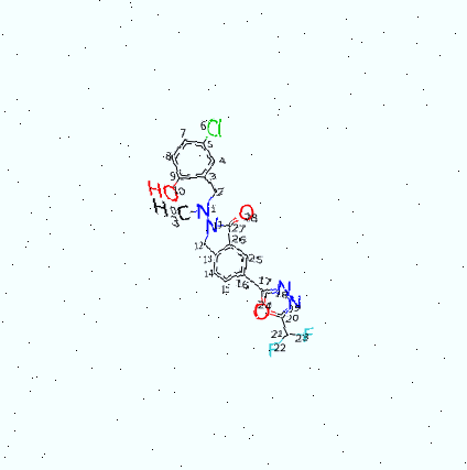 CN(Cc1cc(Cl)ccc1O)N1Cc2ccc(-c3nnc(C(F)F)o3)cc2C1=O